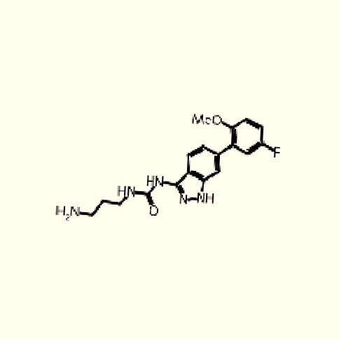 COc1ccc(F)cc1-c1ccc2c(NC(=O)NCCCN)n[nH]c2c1